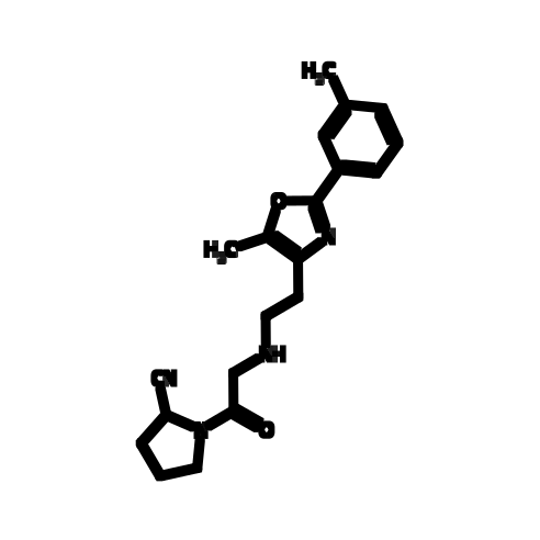 Cc1cccc(-c2nc(CCNCC(=O)N3CCCC3C#N)c(C)o2)c1